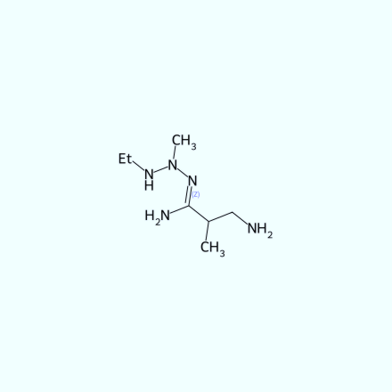 CCNN(C)/N=C(\N)C(C)CN